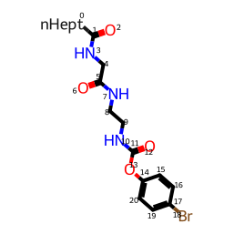 CCCCCCCC(=O)NCC(=O)NCCNC(=O)Oc1ccc(Br)cc1